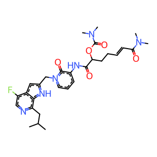 CC(C)Cc1ncc(F)c2cc(Cn3cccc(NC(=O)C(CC/C=C/C(=O)N(C)C)OC(=O)N(C)C)c3=O)[nH]c12